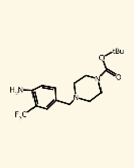 CC(C)(C)OC(=O)N1CCN(Cc2ccc(N)c(C(F)(F)F)c2)CC1